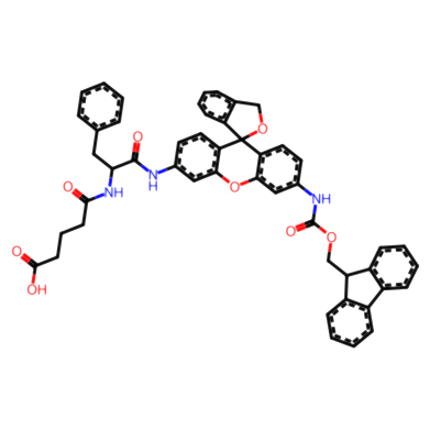 O=C(O)CCCC(=O)NC(Cc1ccccc1)C(=O)Nc1ccc2c(c1)Oc1cc(NC(=O)OCC3c4ccccc4-c4ccccc43)ccc1C21OCc2ccccc21